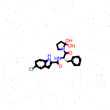 O=C(N[C@@H](Cc1ccccc1)C(=O)N1CCCC1(O)O)c1cc2cc(Cl)ccc2[nH]1